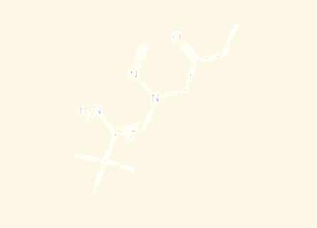 C=NN(/C=C(\N)C(C)(C)C)CC(=O)CC